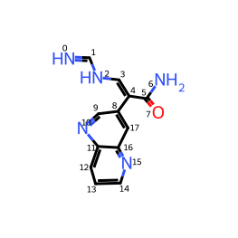 N=CN/C=C(/C(N)=O)c1cnc2cccnc2c1